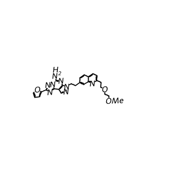 COCCOCCc1ccc2ccc(CCn3ncc4c3nc(N)n3nc(-c5ccco5)nc43)cc2n1